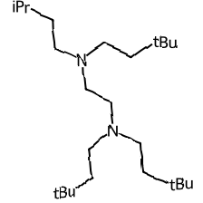 CC(C)CCN(CCN(CCC(C)(C)C)CCC(C)(C)C)CCC(C)(C)C